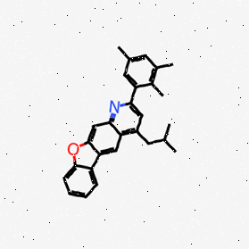 Cc1cc(C)c(C)c(-c2cc(CC(C)C)c3cc4c(cc3n2)oc2ccccc24)c1